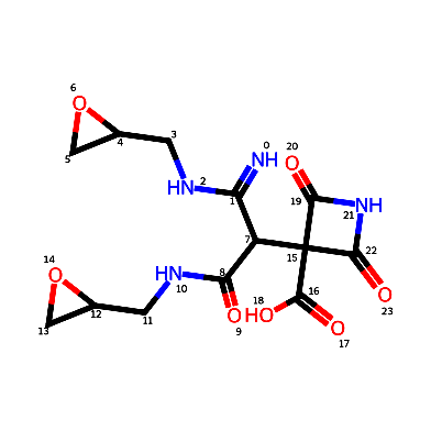 N=C(NCC1CO1)C(C(=O)NCC1CO1)C1(C(=O)O)C(=O)NC1=O